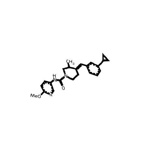 COc1ccc(NC(=O)N2CC/C(=C\c3cccc(C4CC4)c3)C(C)C2)cn1